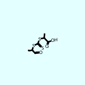 CC(C=O)SC(=S)SC(C)C(=O)O